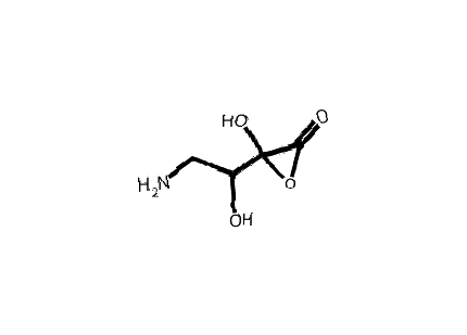 NCC(O)C1(O)OC1=O